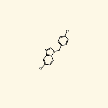 Clc1ccc(Cn2cnc3cc(Cl)ccc32)cc1